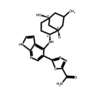 CC1C[C@H]2C[C@](O)(CC[C@@H]2Nc2c(-c3nnc(C(N)=O)o3)cnc3[nH]ccc23)C1